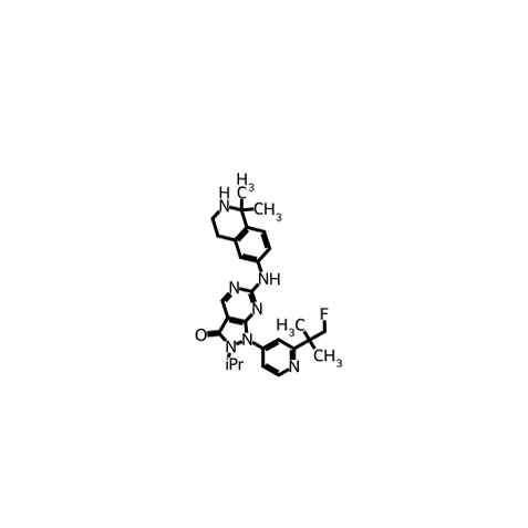 CC(C)n1c(=O)c2cnc(Nc3ccc4c(c3)CCNC4(C)C)nc2n1-c1ccnc(C(C)(C)CF)c1